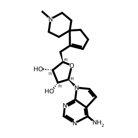 CN1CCC2(CCC=C2C[C@H]2O[C@@H](n3ccc4c(N)ncnc43)[C@H](O)[C@@H]2O)CC1